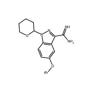 CC(C)Oc1ccc2c(c1)c(C(=N)N)nn2C1CCCCO1